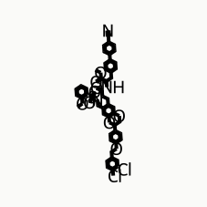 COC(=O)C(Cc1ccc(-c2ccc(C#N)cc2)cc1)NC(=O)C1Cc2cc3c(cc2CN1S(=O)(=O)c1ccccc1OC)OC(c1ccc(OCc2ccc(Cl)c(Cl)c2)cc1)CO3